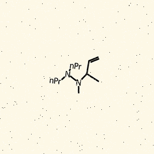 C=CC(C)N(C)N(CCC)CCC